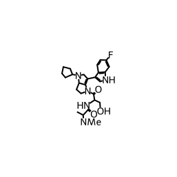 CNC(C)C(=O)NC(CO)C(=O)N1CCC2C1=C(c1c[nH]c3cc(F)ccc13)CN2C1CCCC1